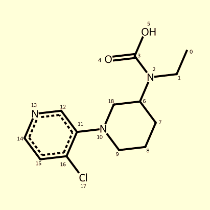 CCN(C(=O)O)C1CCCN(c2cnccc2Cl)C1